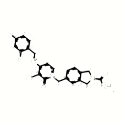 NC(=O)N1Cc2ccc(Cn3ccc(OCc4ccc(F)cc4F)c(Cl)c3=O)cc2C1